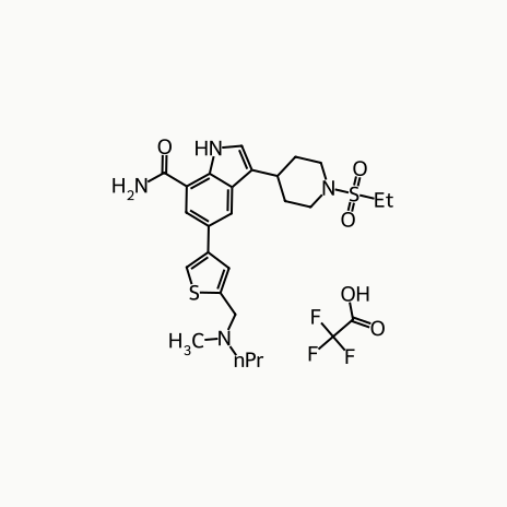 CCCN(C)Cc1cc(-c2cc(C(N)=O)c3[nH]cc(C4CCN(S(=O)(=O)CC)CC4)c3c2)cs1.O=C(O)C(F)(F)F